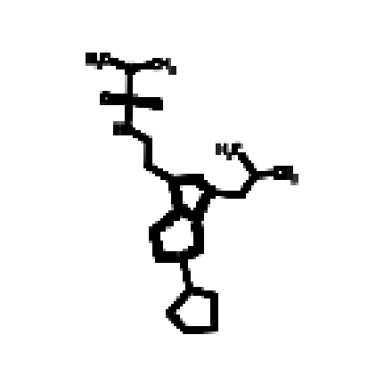 CC(C)Cn1cc(CCNS(=O)(=O)N(C)C)c2ccc(C3CCCC3)cc21